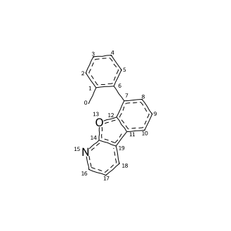 Cc1ccccc1-c1cccc2c1oc1ncccc12